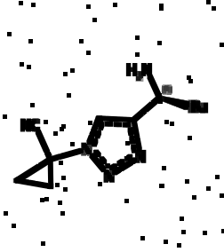 CCC(C)[C@H](N)c1cn(C2(C#N)CC2)nn1